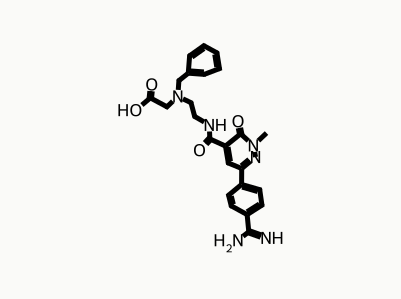 Cn1nc(-c2ccc(C(=N)N)cc2)cc(C(=O)NCCN(CC(=O)O)Cc2ccccc2)c1=O